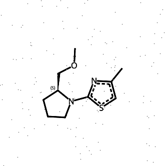 COC[C@@H]1CCCN1c1nc(C)cs1